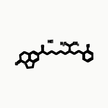 CC(C)N(CCCCCC(=O)c1cc2c3c(c1)CCN3C(=O)CC2)CCc1ccccc1Cl.Cl